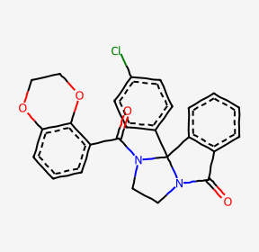 O=C1c2ccccc2C2(c3ccc(Cl)cc3)N1CCN2C(=O)c1cccc2c1OCCO2